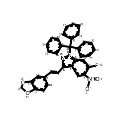 O=[N+]([O-])c1cc2c(C=Cc3ccc4c(c3)OCO4)nn(C(c3ccccc3)(c3ccccc3)c3ccccc3)c2cc1F